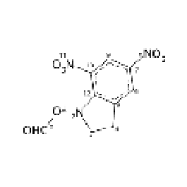 O=[C]ON1CCc2cc([N+](=O)[O-])cc([N+](=O)[O-])c21